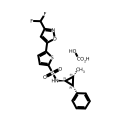 C[C@H]1[C@H](NS(=O)(=O)c2ccc(-c3cc(C(F)F)no3)s2)[C@H]1c1ccccc1.O=C(O)O